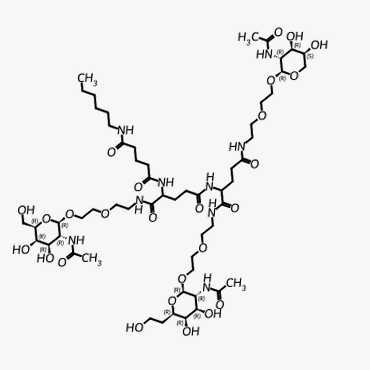 CCCCCCNC(=O)CCCC(=O)NC(CCC(=O)NC(CCC(=O)NCCOCCO[C@@H]1OC[C@H](O)[C@H](O)[C@H]1NC(C)=O)C(=O)NCCOCCO[C@@H]1O[C@H](CCO)[C@H](O)[C@H](O)[C@H]1NC(C)=O)C(=O)NCCOCCO[C@@H]1O[C@H](CO)[C@H](O)[C@H](O)[C@H]1NC(C)=O